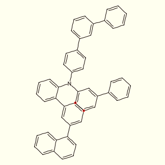 c1ccc(-c2cccc(-c3ccc(N(c4cccc(-c5ccccc5)c4)c4ccccc4-c4cccc(-c5cccc6ccccc56)c4)cc3)c2)cc1